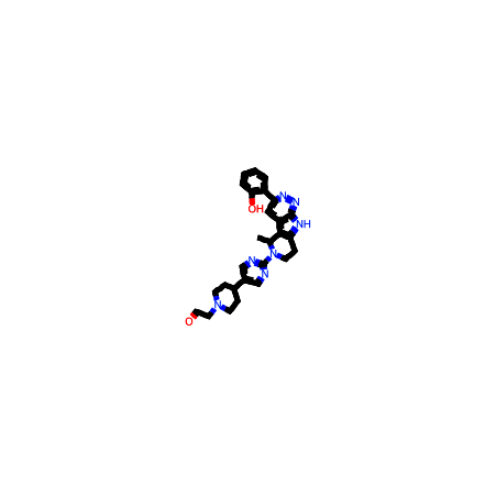 CC1c2c([nH]c3nnc(-c4ccccc4O)cc23)CCN1c1ncc(C2CCN(CC=O)CC2)cn1